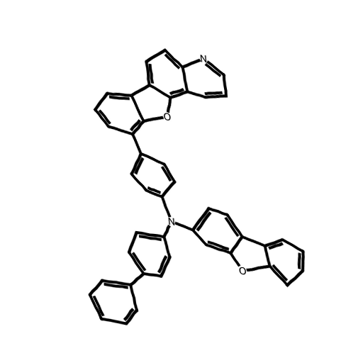 c1ccc(-c2ccc(N(c3ccc(-c4cccc5c4oc4c6cccnc6ccc54)cc3)c3ccc4c(c3)oc3ccccc34)cc2)cc1